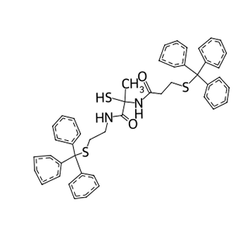 CC(S)(NC(=O)CCSC(c1ccccc1)(c1ccccc1)c1ccccc1)C(=O)NCCSC(c1ccccc1)(c1ccccc1)c1ccccc1